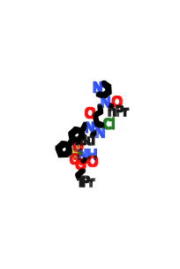 CCCCc1nc(Cl)c(C(=O)CCN(C(=O)CCC)c2cccnc2)n1Cc1ccc(-c2ccccc2S(=O)(=O)NC(=O)OCCC(C)C)cc1